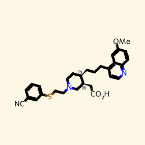 COc1ccc2nccc(CCC[C@@H]3CCN(CCSc4cccc(C#N)c4)C[C@@H]3CC(=O)O)c2c1